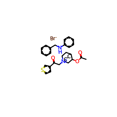 CC(=O)OC1C[N+]2(CC(=O)c3ccsc3)CCC1CC2.[Br-].c1ccc(CNc2ccccc2)cc1